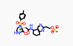 Cc1ccc(S(=O)(=O)N2CCNC(=O)[C@H]2CC(=O)NC2CCCc3nc(CCOS(C)(=O)=O)ncc32)cc1